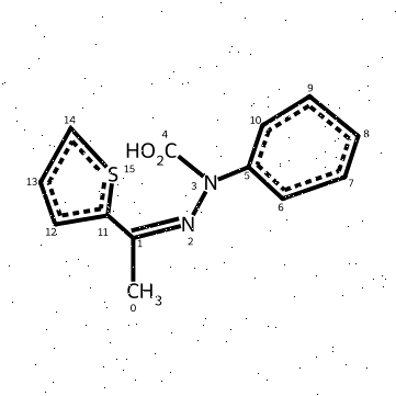 CC(=NN(C(=O)O)c1ccccc1)c1cccs1